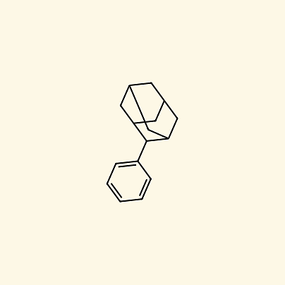 c1ccc(C2C3CC4CC(C3)CC2C4)cc1